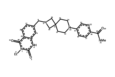 CCn1c(=O)[nH]c2cc(CN3CC4(CCN(c5ccc(C(=O)NC)nc5)CC4)C3)ccc2c1=O